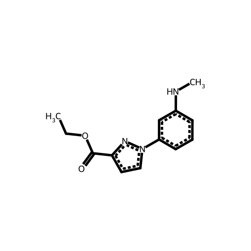 CCOC(=O)c1ccn(-c2cccc(NC)c2)n1